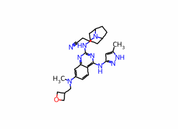 Cc1cc(Nc2nc(NC3CC4CCC(C3)N4CCC#N)nc3cc(N(C)CC4COC4)ccc23)n[nH]1